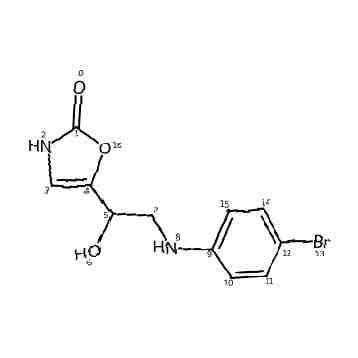 O=c1[nH]cc(C(O)CNc2ccc(Br)cc2)o1